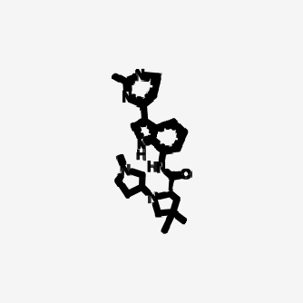 Cc1nccc(-c2c[nH]c3c(NC(=O)[C@H]4CC(C)(C)CN4C4CCN(C)C4)cccc23)n1